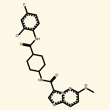 CNc1ccc2ncc(C(=O)NC3CCC(C(=O)Nc4ccc(F)cc4Cl)CC3)n2n1